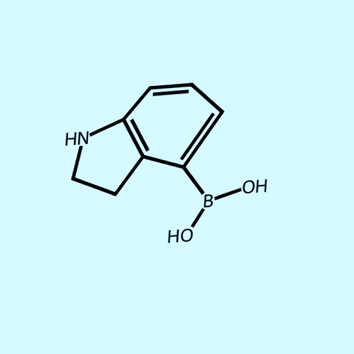 OB(O)c1cccc2c1CCN2